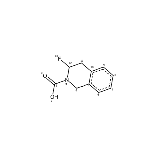 O=C(O)N1Cc2ccccc2CC1F